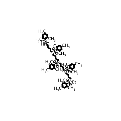 CCN(CCCCN(CCCCN(CCCCN(CCCCNS(=O)(=O)c1c(C)cc(C)cc1C)S(=O)(=O)c1c(C)cc(C)cc1C)S(=O)(=O)c1c(C)cc(C)cc1C)S(=O)(=O)c1c(C)cc(C)cc1C)S(=O)(=O)c1c(C)cc(C)cc1C